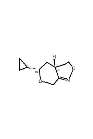 C1O[C@H](C2CC2)C[C@@H]2CON=C12